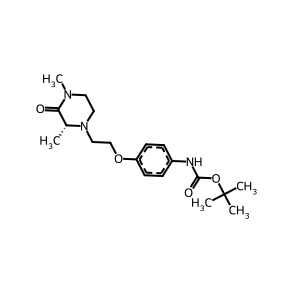 C[C@@H]1C(=O)N(C)CCN1CCOc1ccc(NC(=O)OC(C)(C)C)cc1